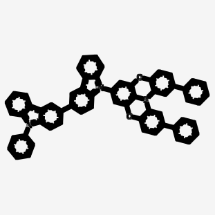 c1ccc(-c2ccc3c(c2)B2c4cc(-c5ccccc5)ccc4Oc4cc(-n5c6ccccc6c6cc(-c7ccc8c(c7)c7ccccc7n8-c7ccccc7)ccc65)cc(c42)O3)cc1